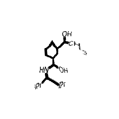 CC(C)C(NC(O)C1CCCC(C(C)O)C1)C(C)C